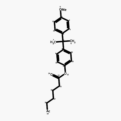 COc1ccc(C(C)(C)c2ccc(OC(=O)CCCCC(C)=O)cc2)cc1